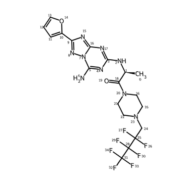 C[C@H](Nc1nc(N)n2nc(-c3ccco3)nc2n1)C(=O)N1CCN(CC(F)(F)C(F)(F)C(F)(F)F)CC1